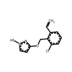 C=Cc1cccc(Cl)c1COc1ccn(S)n1